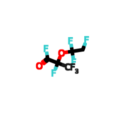 O=C(F)C(F)(OC(F)(F)CF)C(F)(F)F